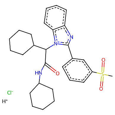 CS(=O)(=O)c1cccc(-c2nc3ccccc3n2C(C(=O)NC2CCCCC2)C2CCCCC2)c1.[Cl-].[H+]